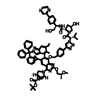 CO[C@@H](C)COc1nc(N2C[C@@H]3C[C@H]2CN3C(=O)OC(C)(C)C)c2cc(C3CC3)c(-c3c(C)c(F)cc4nn(C(c5ccccc5)(c5ccccc5)c5ccccc5)cc34)c(OCc3ccc(-c4cn([C@H](C(=O)N5C[C@H](O)C[C@H]5C(=O)N[C@@H](CO)c5ccc(-c6cnccn6)cc5)C(C)C)nn4)cc3)c2n1